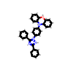 c1ccc(-c2nc(-c3ccccc3)n(-c3ccc(N4c5ccccc5Oc5ccccc54)cc3)n2)cc1